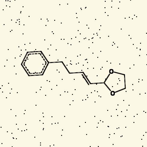 C(=CC1OCCO1)CCc1ccccc1